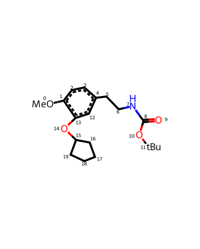 COc1ccc(CCNC(=O)OC(C)(C)C)cc1OC1CCCC1